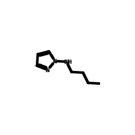 CCCCNn1cc[c]n1